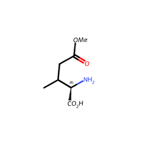 COC(=O)CC(C)[C@@H](N)C(=O)O